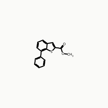 COC(=O)c1cc2cccc(-c3ccccc3)c2s1